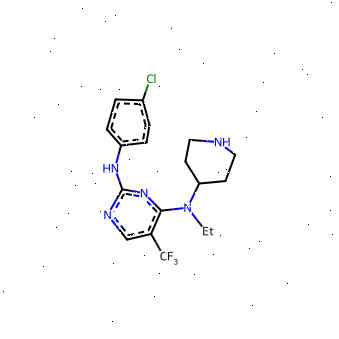 CCN(c1nc(Nc2ccc(Cl)cc2)ncc1C(F)(F)F)C1CCNCC1